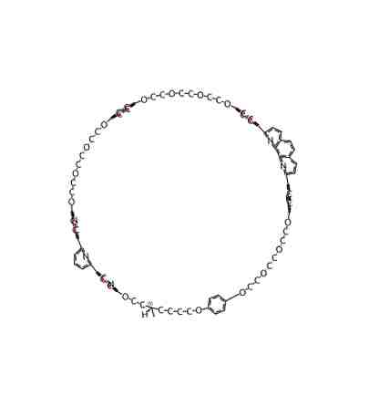 C[C@H]1CCCCOc2ccc(cc2)OCCOCCOCCOc2ccc(cc2)-c2ccc3ccc4ccc(nc4c3n2)-c2ccc(cc2)OCCOCCOCCOc2ccc(cc2)OCCOCCOCCOc2ccc(cn2)-c2cccc(n2)-c2ccc(nc2)OCC1